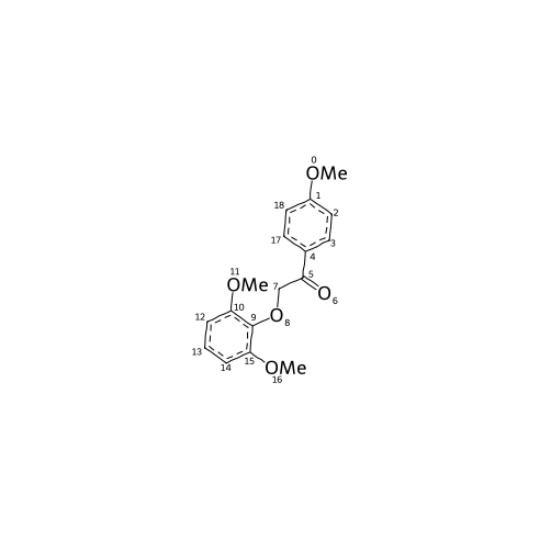 COc1ccc(C(=O)COc2c(OC)cccc2OC)cc1